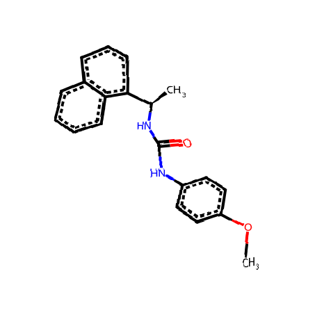 COc1ccc(NC(=O)N[C@H](C)c2cccc3ccccc23)cc1